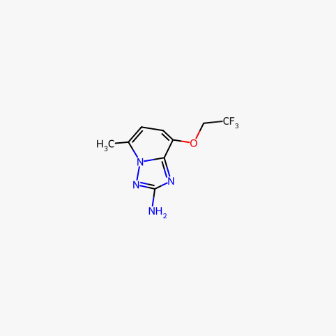 Cc1ccc(OCC(F)(F)F)c2nc(N)nn12